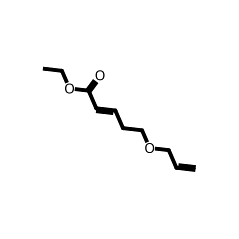 C=CCOCCC=CC(=O)OCC